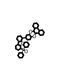 O=P(c1ccccc1)(c1ccccc1)c1cccc2c1oc1c(-c3ccc4c(c3)Oc3c(c5ccccc5c5ccccc35)O4)cccc12